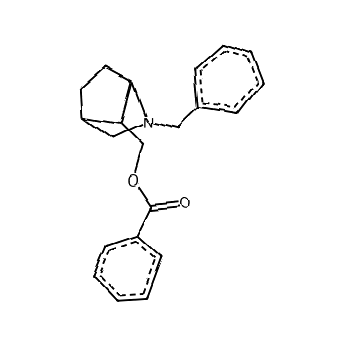 O=C(OCC1C2CCC1N(Cc1ccccc1)C2)c1ccccc1